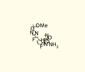 COCC(C)Oc1cnc(/C(F)=C/c2ccc(F)c([C@@]3(C)N=C(N)S[C@@]4(C(=O)N(C)C)C[C@H]43)c2)cn1